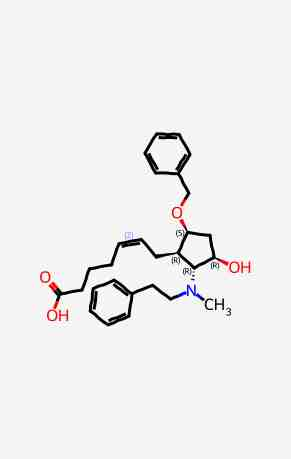 CN(CCc1ccccc1)[C@@H]1[C@@H](C/C=C\CCCC(=O)O)[C@@H](OCc2ccccc2)C[C@H]1O